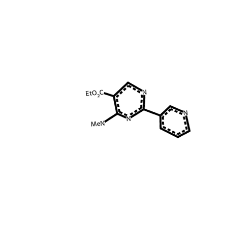 CCOC(=O)c1cnc(-c2cccnc2)nc1NC